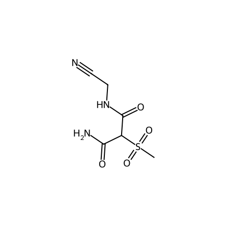 CS(=O)(=O)C(C(N)=O)C(=O)NCC#N